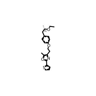 CCO[C@@H](C)Cc1ccc(OCCc2nc(-c3cccs3)oc2C)cc1